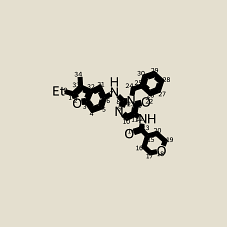 CCc1oc2ccc(Nc3ncc(NC(=O)C4CCOCC4)c(=O)n3Cc3ccccc3)cc2c1C